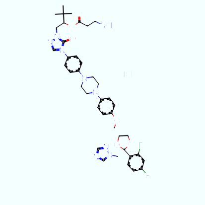 CC(C)(C)C(Cn1ncn(-c2ccc(N3CCN(c4ccc(OC[C@@H]5CO[C@@](Cn6cncn6)(c6ccc(F)cc6F)O5)cc4)CC3)cc2)c1=O)OC(=O)CCN.Cl